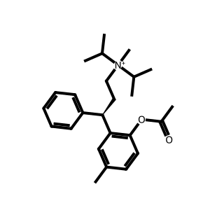 CC(=O)Oc1ccc(C)cc1[C@H](CC[N+](C)(C(C)C)C(C)C)c1ccccc1